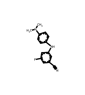 CN(C)c1ccc(Nc2cc(F)cc(C#N)c2)cc1